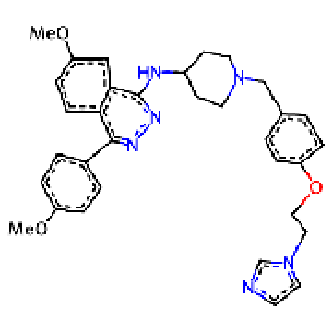 COc1ccc(-c2nnc(NC3CCN(Cc4ccc(OCCn5ccnc5)cc4)CC3)c3cc(OC)ccc23)cc1